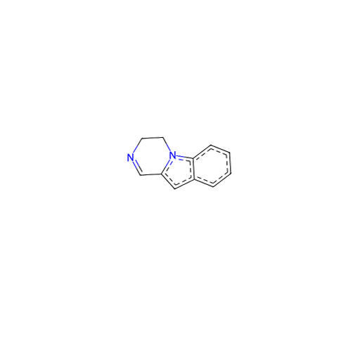 C1=NCCn2c1cc1ccccc12